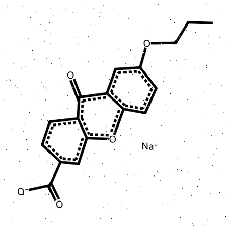 CCCOc1ccc2oc3cc(C(=O)[O-])ccc3c(=O)c2c1.[Na+]